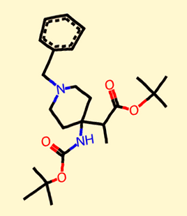 CC(C(=O)OC(C)(C)C)C1(NC(=O)OC(C)(C)C)CCN(Cc2ccccc2)CC1